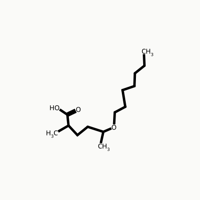 CCCCCCCOC(C)CCC(C)C(=O)O